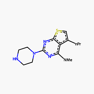 CCCc1csc2nc(N3CCNCC3)nc(NC)c12